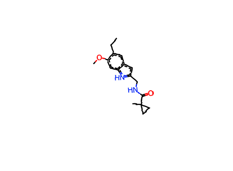 CCc1cc2cc(CNC(=O)C3(C)CC3)[nH]c2cc1OC